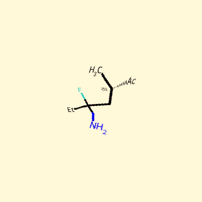 CCC(N)(F)C[C@H](C)C(C)=O